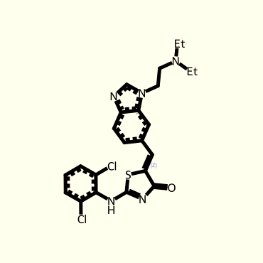 CCN(CC)CCn1cnc2ccc(/C=C3\SC(Nc4c(Cl)cccc4Cl)=NC3=O)cc21